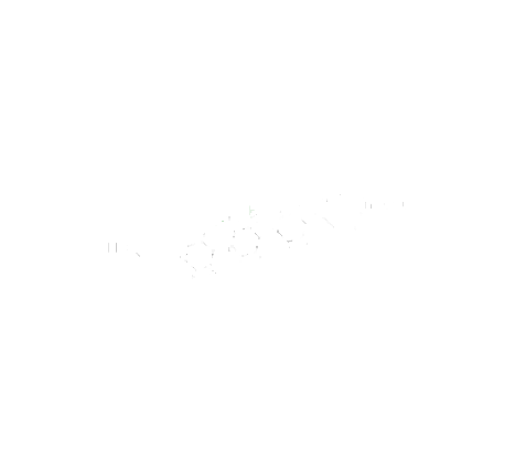 C=CCCc1ccc(-c2ccc(-c3ccc(C4=CCC(CCCCC)CC4)cc3)c(F)c2Cl)cc1